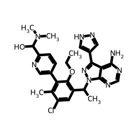 CCOc1c(C(C)n2nc(-c3cn[nH]c3)c3c(N)ncnc32)cc(Cl)c(C)c1-c1ccc(C(O)N(C)C)nc1